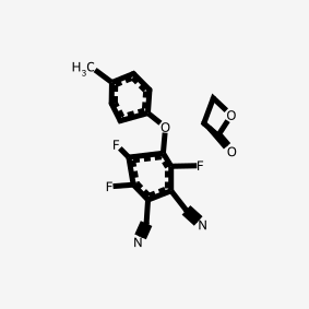 Cc1ccc(Oc2c(F)c(F)c(C#N)c(C#N)c2F)cc1.O=C1CCO1